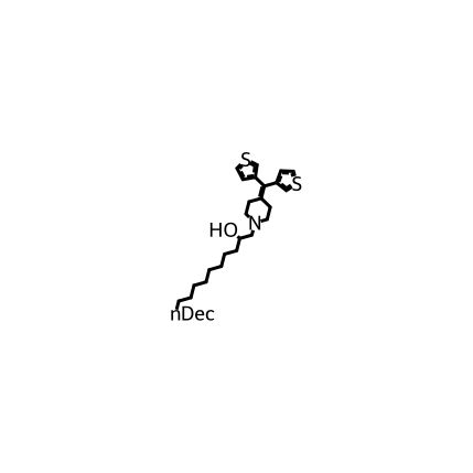 CCCCCCCCCCCCCCCCCCC(O)CN1CCC(=C(c2ccsc2)c2ccsc2)CC1